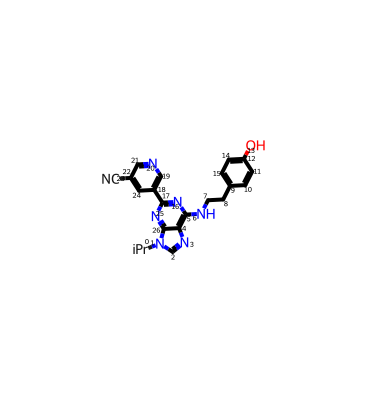 CC(C)n1cnc2c(NCCc3ccc(O)cc3)nc(-c3cncc(C#N)c3)nc21